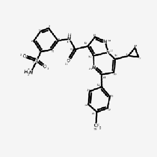 NS(=O)(=O)c1cccc(NC(=O)c2cnn3c(C4CC4)cc(-c4ccc(C(F)(F)F)cc4)nc23)c1